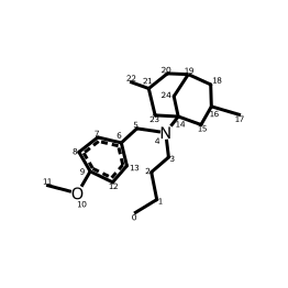 CCCCN(Cc1ccc(OC)cc1)C12CC(C)CC(CC(C)C1)C2